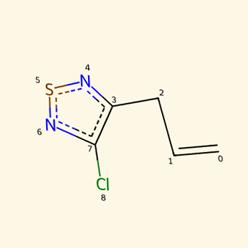 C=CCc1nsnc1Cl